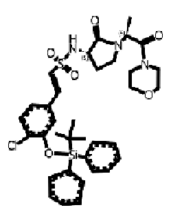 C[C@@H](C(=O)N1CCOCC1)N1CC[C@H](NS(=O)(=O)C=Cc2ccc(Cl)c(O[Si](c3ccccc3)(c3ccccc3)C(C)(C)C)c2)C1=O